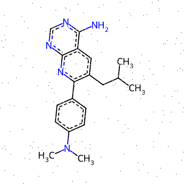 CC(C)Cc1cc2c(N)ncnc2nc1-c1ccc(N(C)C)cc1